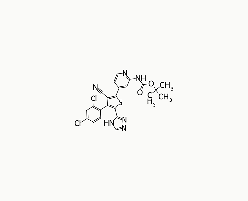 CC(C)(C)OC(=O)Nc1cc(-c2sc(-c3nnc[nH]3)c(-c3ccc(Cl)cc3Cl)c2C#N)ccn1